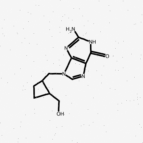 Nc1nc2c(ncn2CC2CCC2CO)c(=O)[nH]1